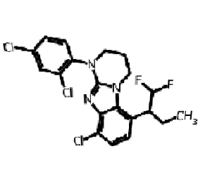 CCC(c1ccc(Cl)c2nc3n(c12)CCCN3c1ccc(Cl)cc1Cl)C(F)F